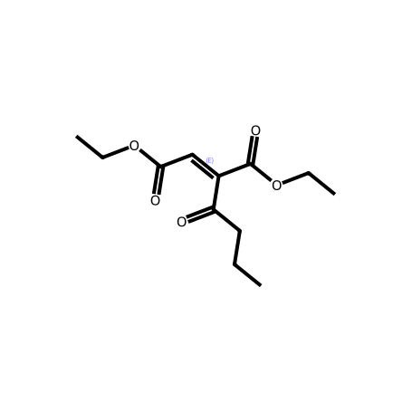 CCCC(=O)/C(=C\C(=O)OCC)C(=O)OCC